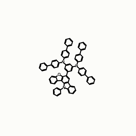 c1ccc(-c2ccc(N(c3ccc(-c4ccccc4)cc3)c3cc(-c4cc5c6ccccc6n(-c6ccccc6)c5c5c4oc4ccccc45)cc(N(c4ccc(-c5ccccc5)cc4)c4ccc(-c5ccccc5)cc4)c3)cc2)cc1